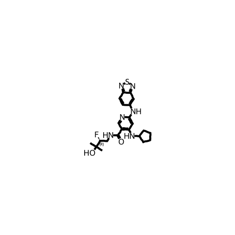 CC(C)(O)[C@H](F)CNC(=O)c1cnc(Nc2ccc3nsnc3c2)cc1NC1CCCC1